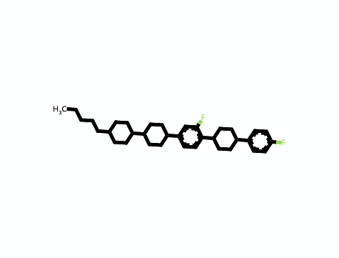 CCCCCC1CCC(C2CCC(c3ccc(C4CCC(c5ccc(F)cc5)CC4)c(F)c3)CC2)CC1